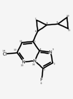 Fc1cnc2c(C3CC3C3CC3)cc(Cl)nn12